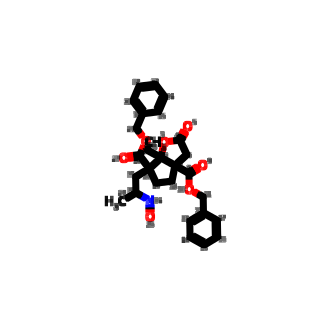 CCC12OC(=O)CC1(C(=O)OCc1ccccc1)CCC2(CC(C)N=O)C(=O)OCc1ccccc1